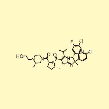 CC(C)C1=C(C(=O)N2[C@H](C)CC[C@H]2C(=O)N2CCN(CCO)[C@H](C)C2)SC2=N[C@@](C)(c3ccc(Cl)nc3)[C@@H](c3ccc(Cl)c(F)c3)N21